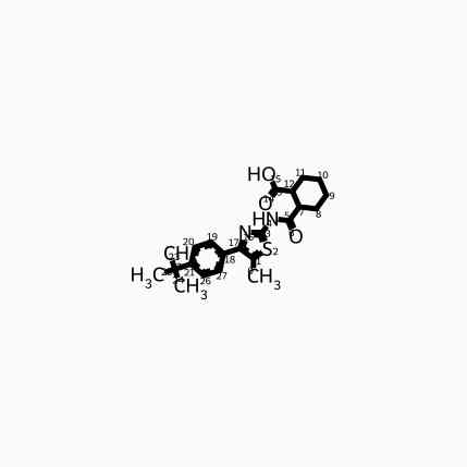 Cc1sc(NC(=O)C2CCCCC2C(=O)O)nc1-c1ccc(C(C)(C)C)cc1